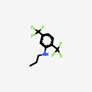 CCCNc1cc(C(F)(F)F)ccc1C(F)(F)F